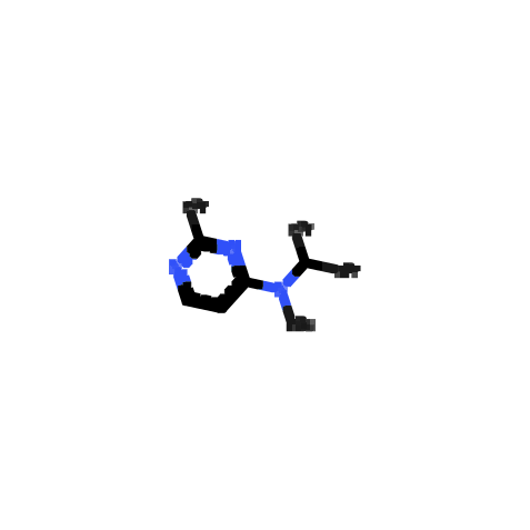 CCCCN(c1ccnc(CCC)n1)C(CCC)CCC